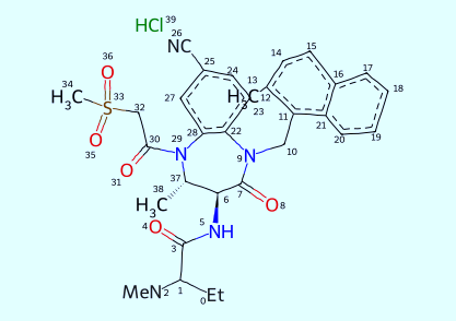 CCC(NC)C(=O)N[C@@H]1C(=O)N(Cc2c(C)ccc3ccccc23)c2ccc(C#N)cc2N(C(=O)CS(C)(=O)=O)[C@H]1C.Cl